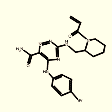 C=CC(=O)N1CCCCC1CNc1nnc(C(N)=O)c(Nc2ccc(C(C)C)cc2)n1